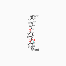 CCCCCc1ccc(OC(=O)c2ccc(OCCCC3CCC(CCCCC)CC3)cc2)c(F)c1